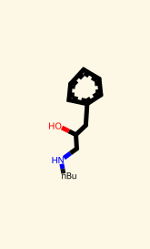 CCCCNCC(O)Cc1ccccc1